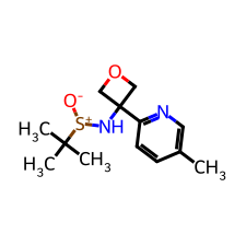 Cc1ccc(C2(N[S+]([O-])C(C)(C)C)COC2)nc1